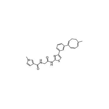 C/C1=C/C=C\C(c2cccc(-c3csc(NC(=O)CNC(=O)c4ccn(C)c4)n3)c2)=C/CC1